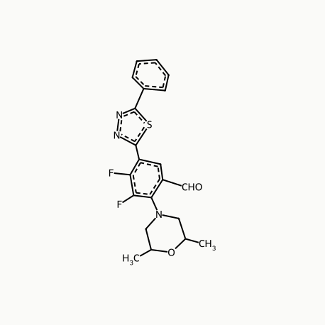 CC1CN(c2c(C=O)cc(-c3nnc(-c4ccccc4)s3)c(F)c2F)CC(C)O1